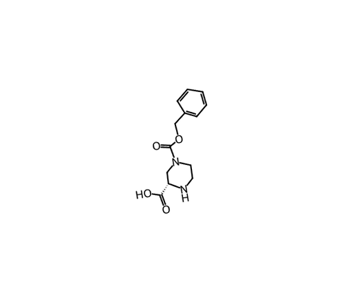 O=C(O)[C@@H]1CN(C(=O)OCc2ccccc2)CCN1